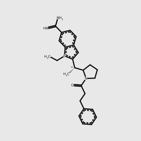 CCn1c([C@@H](C)C2CCCN2C(=O)CCc2ccccc2)cc2ccc(C(=N)N)cc21